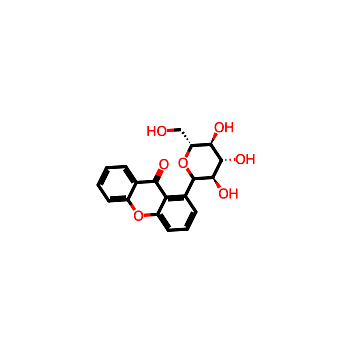 O=c1c2ccccc2oc2cccc(C3O[C@H](CO)[C@@H](O)[C@H](O)[C@H]3O)c12